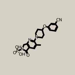 Cc1cc2c(nc1N1CCC(Oc3cccc(C#N)c3)CC1)CN(P(=O)(O)O)C2=O